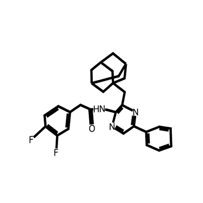 O=C(Cc1ccc(F)c(F)c1)Nc1ncc(-c2ccccc2)nc1CC12CC3CC(CC(C3)C1)C2